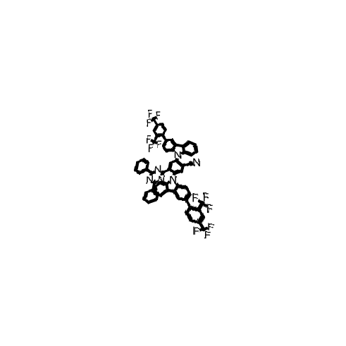 N#Cc1cc(-n2c3ccccc3c3cc(-c4ccc(C(F)(F)F)cc4C(F)(F)F)ccc32)c(-c2nc(-c3ccccc3)nc(-c3ccccc3)n2)cc1-n1c2ccccc2c2cc(-c3ccc(C(F)(F)F)cc3C(F)(F)F)ccc21